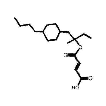 CCCCC1CCC(CC(C)(CC)OC(=O)/C=C/C(=O)O)CC1